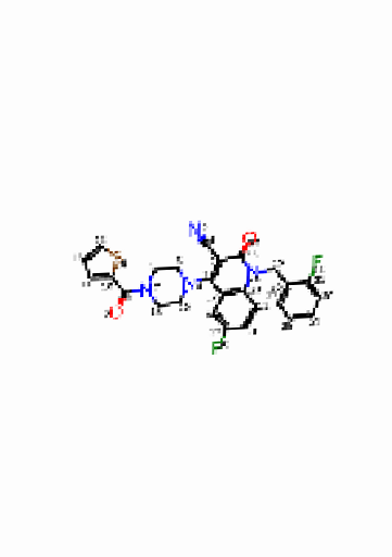 N#Cc1c(N2CCN(C(=O)c3cccs3)CC2)c2cc(F)ccc2n(Cc2ccccc2F)c1=O